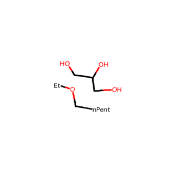 CCCCCCOCC.OCC(O)CO